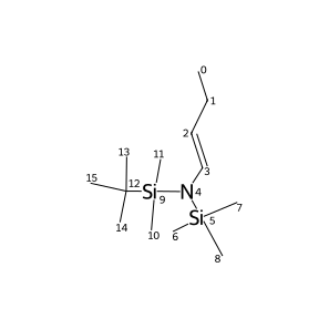 CCC=CN([Si](C)(C)C)[Si](C)(C)C(C)(C)C